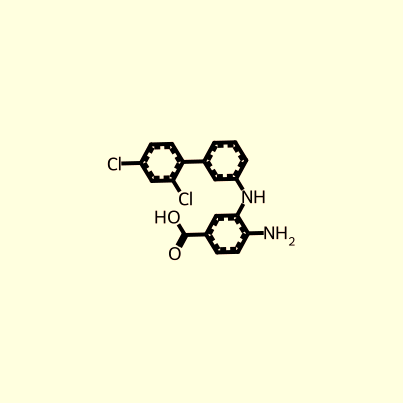 Nc1ccc(C(=O)O)cc1Nc1cccc(-c2ccc(Cl)cc2Cl)c1